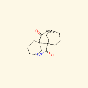 C[N]C(=O)C1(C2(C(N)=O)CCCCC2)CCCCC1